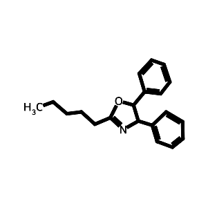 CCCCCC1=NC(c2ccccc2)C(c2ccccc2)O1